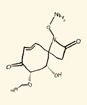 CCCO[C@@H]1C(=O)C=CC2(CC(=O)N2ON)[C@@H]1O